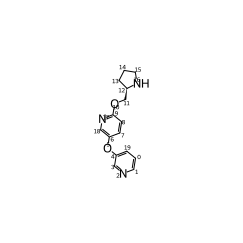 c1cncc(Oc2ccc(OC[C@H]3CCCN3)nc2)c1